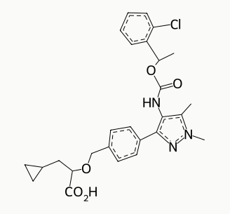 Cc1c(NC(=O)OC(C)c2ccccc2Cl)c(-c2ccc(COC(CC3CC3)C(=O)O)cc2)nn1C